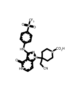 N#CCC1(n2nc(Nc3ccc(S(=O)(=O)C(F)(F)F)cc3)c3c(=O)[nH]ccc32)CCN(C(=O)O)CC1